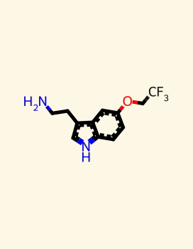 NCCc1c[nH]c2ccc(OCC(F)(F)F)cc12